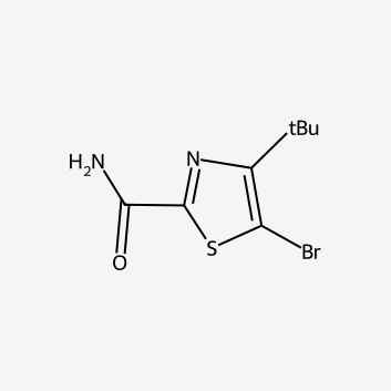 CC(C)(C)c1nc(C(N)=O)sc1Br